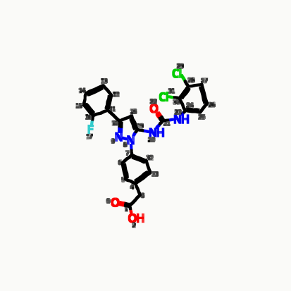 O=C(O)Cc1ccc(-n2nc(-c3ccccc3F)cc2NC(=O)Nc2cccc(Cl)c2Cl)cc1